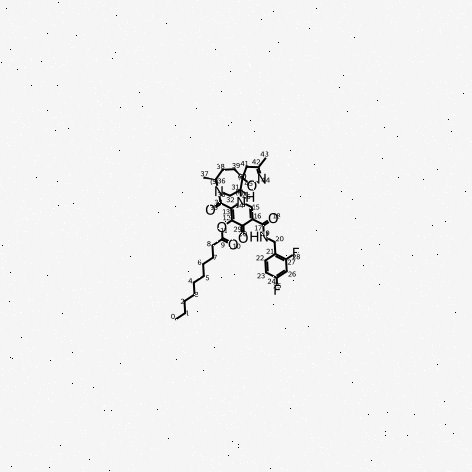 CCCCCCCCCC(=O)Oc1c2n(cc(C(=O)NCc3ccc(F)cc3F)c1=O)[C@@H]1CN(C2=O)[C@@H](C)CC[C@]12CC(C)=NO2